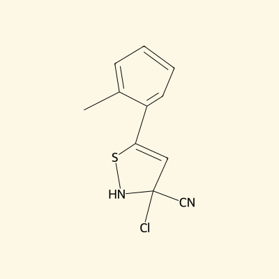 Cc1ccccc1C1=CC(Cl)(C#N)NS1